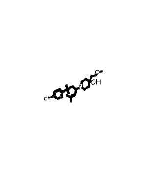 COCCC1(O)CCN(C(C=C(C)C)CC(C)(C)c2ccc(Cl)cc2)CC1